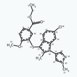 CCOC(=O)c1ccc(OC)c(Sc2c(C)n(-c3cnn(C)c3)c3cc(Cl)ccc23)c1